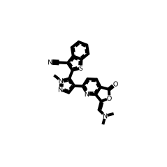 CN(C)C=C1OC(=O)c2ccc(-c3cnn(C)c3-c3sc4ccccc4c3C#N)nc21